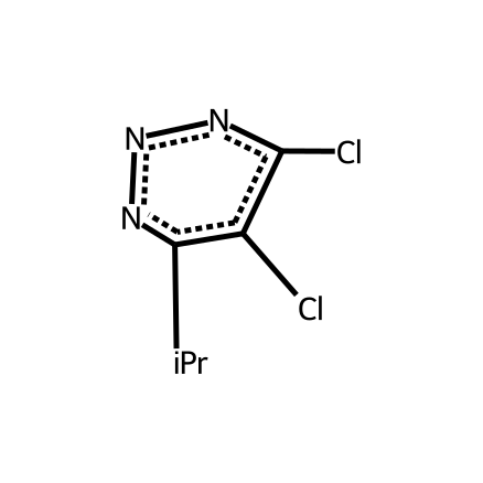 CC(C)c1nnnc(Cl)c1Cl